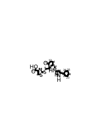 O=C(O)c1csc(SCCN2C(=O)CC[C@@H]2CNc2cc(-c3ccccc3)[nH]n2)n1